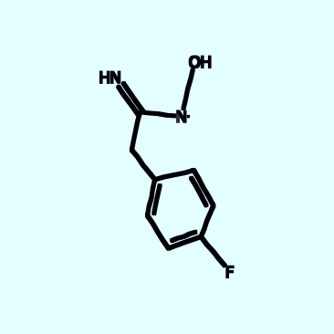 N=C(Cc1ccc(F)cc1)[N]O